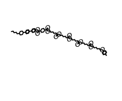 CCCCCC1CCC(c2ccc(-c3ccc(OC(=O)C4CCC(C(=O)OCCCCCC(=O)OCCCCCC(=O)OCCCCCC(=O)OCCCCCC(=O)OCCCCCCOc5ccc(C)cc5)CC4)cc3)cc2)CC1